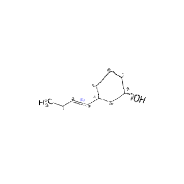 CC/C=C/C1CCCC(O)C1